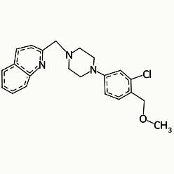 COCc1ccc(N2CCN(Cc3ccc4ccccc4n3)CC2)cc1Cl